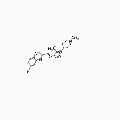 Cc1c(C=Cc2cnc3ccc(F)cc3n2)cnn1C1CCN(C)CC1